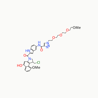 COCCOCCOCCOCCn1cc(C(=O)Nc2ccc3[nH]c(C(=O)N4CC(CCl)c5c4cc(O)c4cccc(OC)c54)cc3c2)nn1